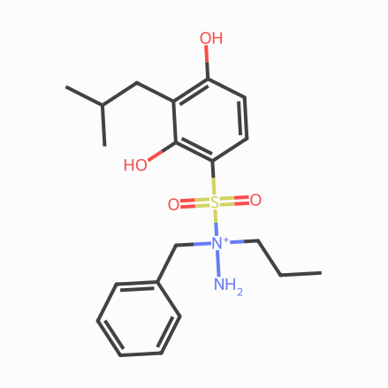 CCC[N+](N)(Cc1ccccc1)S(=O)(=O)c1ccc(O)c(CC(C)C)c1O